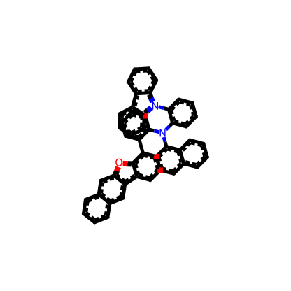 c1ccc(N(c2ccccc2-n2c3ccccc3c3ccccc32)c2cccc3ccccc23)c(-c2cccc3c2oc2cc4ccccc4cc23)c1